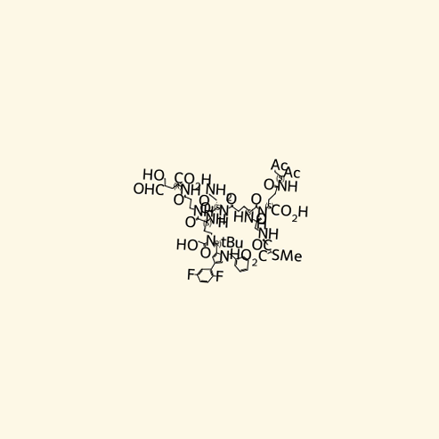 CSC(CC(=O)NCC(=O)N[C@@H](CCC(=O)N[C@@H](CC(N)=O)C(=O)N[C@@H](CCN(C(=O)CO)[C@@H](c1cc(-c2cc(F)ccc2F)cn1Cc1ccccc1)C(C)(C)C)C(=O)NCCC(=O)N[C@H](CC(C=O)CO)C(=O)O)C(=O)N[C@@H](CCC(=O)N[C@@H](CC(C)=O)C(C)=O)C(=O)O)C(=O)O